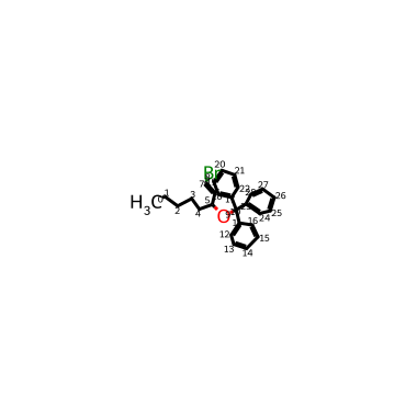 CCCCCC(C=CBr)OC(c1ccccc1)(c1ccccc1)c1ccccc1